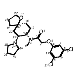 CN(C(=O)COc1cc(Cl)cc(Cl)c1)[C@H]1CC[C@@]2(CCCO2)C[C@@H]1N1CCCC1